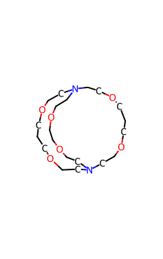 C1COCCN2CCOCCCOCCN(CCOC1)CCOCCOCC2